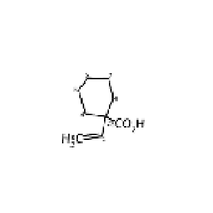 C=CC1(C(=O)O)CCCCC1